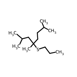 CCCSC(C)(CCC(C)C)CC(C)C